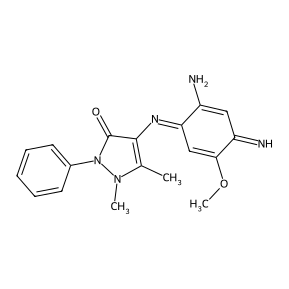 COC1=CC(=Nc2c(C)n(C)n(-c3ccccc3)c2=O)C(N)=CC1=N